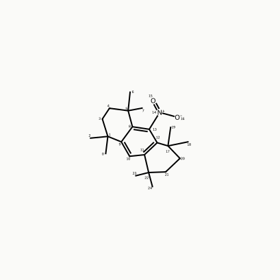 CC1(C)CCC(C)(C)c2c1cc1c(c2[N+](=O)[O-])C(C)(C)CCC1(C)C